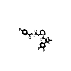 Cc1nc(C(=O)N2CCCCC2CC(=O)OCC(=O)c2ccc(F)cc2)c(-c2ccc(F)c(F)c2)s1